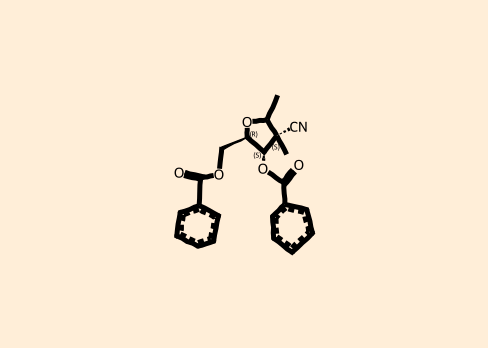 CC1O[C@H](COC(=O)c2ccccc2)[C@@H](OC(=O)c2ccccc2)[C@@]1(C)C#N